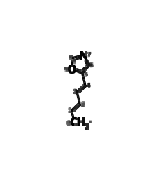 [CH2]C=CC=Cc1cnco1